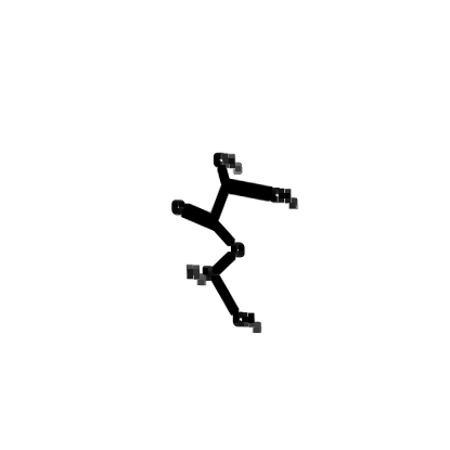 C=C(C)C(=O)O[SiH2]C